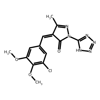 COc1cc(/C=C2\C(=O)N(c3nnn[nH]3)N=C2C)cc(Cl)c1OC